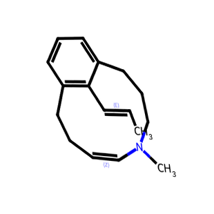 C/C=C/c1c2cccc1CCCN(C)/C=C\CC2